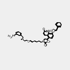 CN(CCOCCCCCCN1CC(c2ccc(OCc3ccccc3)c3[nH]c(=O)ccc23)OC1=O)Cc1cccc(N)c1